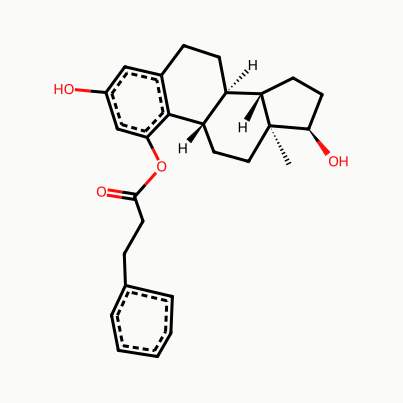 C[C@]12CC[C@@H]3c4c(cc(O)cc4OC(=O)CCc4ccccc4)CC[C@H]3[C@@H]1CC[C@H]2O